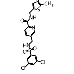 Cc1ncc(CNC(=O)c2ccc(CNS(=O)(=O)c3cc(Cl)cc(Cl)c3)cn2)s1